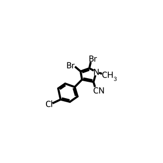 Cn1c(Br)c(Br)c(-c2ccc(Cl)cc2)c1C#N